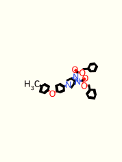 Cc1ccc(Oc2ccc(N3CC4CC(C3)N(C(=O)OCc3ccccc3)N4C(=O)OCc3ccccc3)cc2)cc1